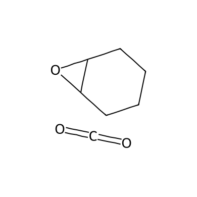 C1CCC2OC2C1.O=C=O